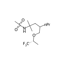 CCCC(CO[C@H](C)C(F)(F)F)CC(C)(C)NS(C)(=O)=O